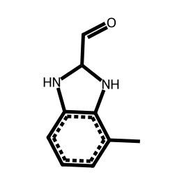 Cc1cccc2c1NC(C=O)N2